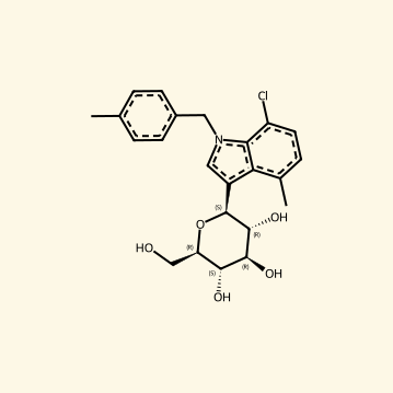 Cc1ccc(Cn2cc([C@@H]3O[C@H](CO)[C@@H](O)[C@H](O)[C@H]3O)c3c(C)ccc(Cl)c32)cc1